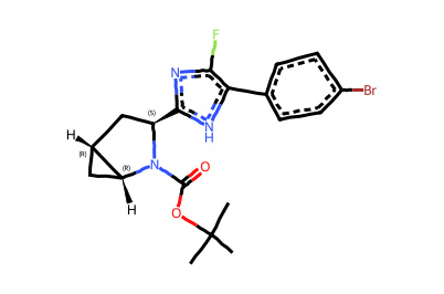 CC(C)(C)OC(=O)N1[C@@H]2C[C@@H]2C[C@H]1c1nc(F)c(-c2ccc(Br)cc2)[nH]1